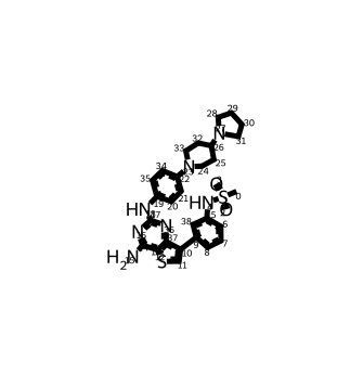 CS(=O)(=O)Nc1cccc(-c2csc3c(N)nc(Nc4ccc(N5CCC(N6CCCC6)CC5)cc4)nc23)c1